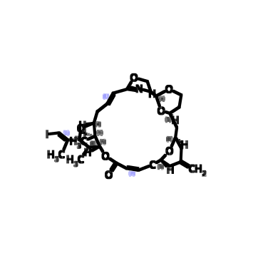 C=C1C[C@@H]2C[C@@H]3CCO[C@@H](O3)C3COC(=N3)/C=C/C[C@H]3O[C@@H](/C(C)=C/I)[C@H](C)[C@@H](OC(=O)/C=C\C[C@@H](C1)O2)[C@H]3C